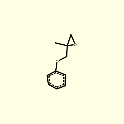 CC1(COc2ccccc2)CO1